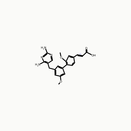 COc1cc(Cc2cnc(N)nc2N)cc(-c2ccc(/C=C/C(=O)O)cc2OC)c1